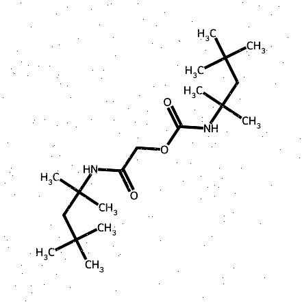 CC(C)(C)CC(C)(C)NC(=O)COC(=O)NC(C)(C)CC(C)(C)C